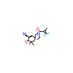 CC1C(C(=O)N2CC[C@]3(C=C(C#N)C(=O)C(C)(C)C3)C2)C1(F)F